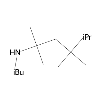 CCC(C)NC(C)(C)CC(C)(C)C(C)C